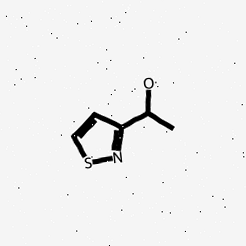 CC([O])c1ccsn1